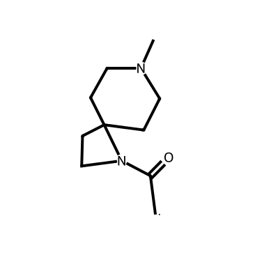 [CH2]C(=O)N1CCC12CCN(C)CC2